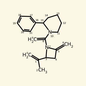 C=C(C)C1CC(=C)N1C(=C)N1CCCCC1c1ccccc1